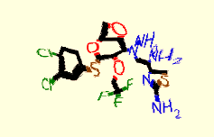 N/C(=C\N(N)C1C2OCC2OC(Sc2ccc(Cl)c(Cl)c2)C1OCC(F)(F)F)c1csc(N)n1